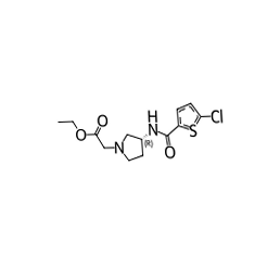 CCOC(=O)CN1CC[C@@H](NC(=O)c2ccc(Cl)s2)C1